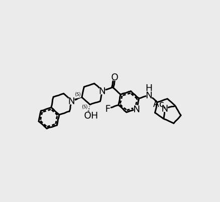 CC(=O)N1C2CCC1CC(Nc1cc(C(=O)N3CC[C@H](N4CCc5ccccc5C4)[C@@H](O)C3)c(F)cn1)C2